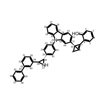 Oc1ccccc1C1=C2C[C@@]21c1ccc2c3ccccc3n(-c3ccc([C@@H]4NC4c4cccc(-c5ccccc5)c4)cc3)c2c1